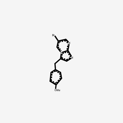 COc1ccc(Cc2cnc3ncc(Br)cn23)cc1